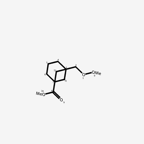 COOCC12CCCC(C(=O)OC)(C1)C2